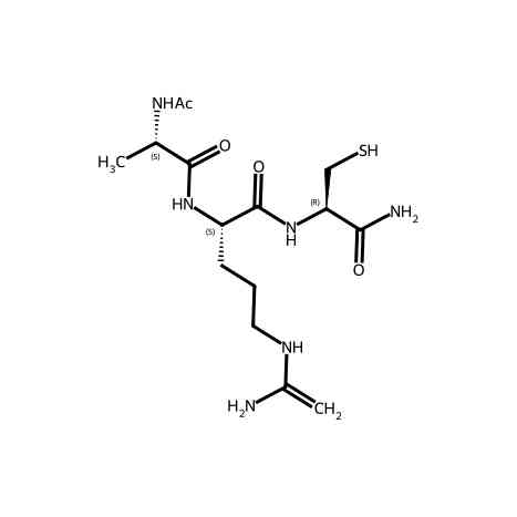 C=C(N)NCCC[C@H](NC(=O)[C@H](C)NC(C)=O)C(=O)N[C@@H](CS)C(N)=O